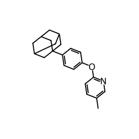 Cc1ccc(Oc2ccc(C34CC5CC(CC(C5)C3)C4)cc2)nc1